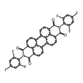 O=C1c2ccc3c4ccc5c6c(ccc(c7ccc(c2c37)C(=O)N1c1c(F)cc(F)cc1F)c64)C(=O)N(c1c(F)cc(F)cc1F)C5=O